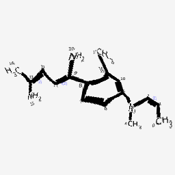 C/C=C\N(C)c1ccc(/C(N)=C/C=C(/C)N)c(C)c1